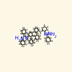 N/C(=N\c1ccccc1Cc1cccc(-c2ccccc2-c2ccccc2-c2cccc(/C(=N/Cc3ccccc3)c3ccccc3N)c2)c1)c1ccccc1